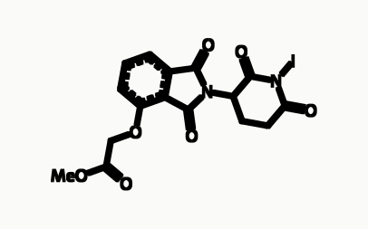 COC(=O)COc1cccc2c1C(=O)N(C1CCC(=O)N(I)C1=O)C2=O